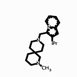 CC(C)c1cc2ccccn2c1CN1CCC2(CCCN(C)C2)CC1